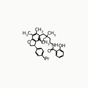 Cc1c(C)c2c(c(C)c1CC(C)(C)CCNC(=O)c1ccccc1O)[C@@H](c1ccc(C(C)C)cc1)CO2